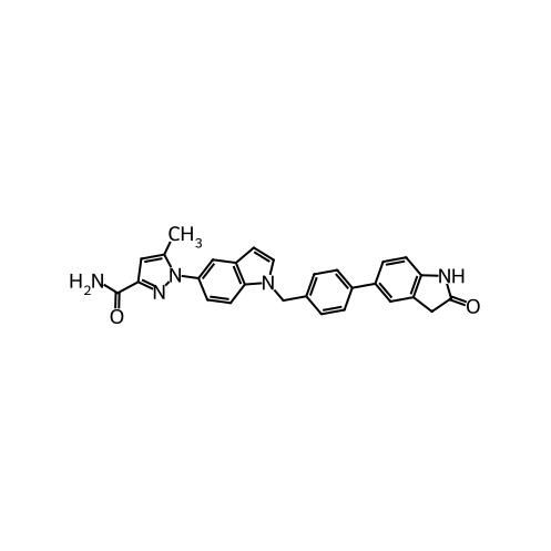 Cc1cc(C(N)=O)nn1-c1ccc2c(ccn2Cc2ccc(-c3ccc4c(c3)CC(=O)N4)cc2)c1